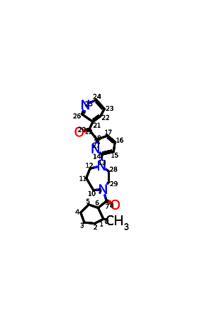 CC1CCCCC1C(=O)N1CCCN(c2cccc(C(=O)c3cccnc3)n2)CC1